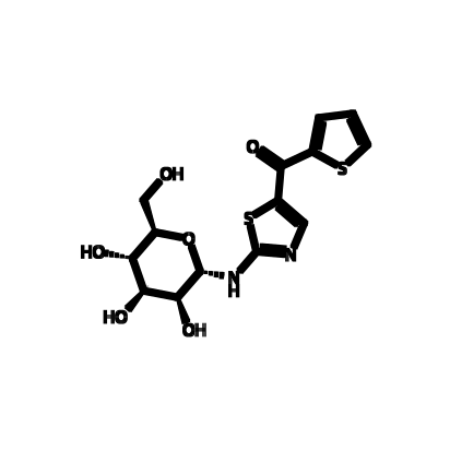 O=C(c1cccs1)c1cnc(N[C@H]2O[C@H](CO)[C@@H](O)[C@H](O)[C@@H]2O)s1